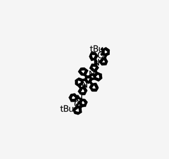 CC(C)(C)c1cccc2c1oc1c(N(c3ccccc3)c3ccc4c(c3)c3cccc5c6c(-c7ccccc7)c7c(c(-c8ccccc8)c6n4c35)c3cccc4c5cc(N(c6ccccc6)c6cccc8c6oc6c(C(C)(C)C)cccc68)ccc5n7c43)cccc12